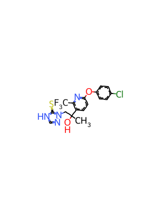 CC(O)(Cn1nc[nH]c1=S)c1ccc(Oc2ccc(Cl)cc2)nc1C(F)(F)F